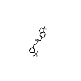 CC1(C)CCc2cc(CNCCc3cccc(C(F)(F)F)c3)ccc21